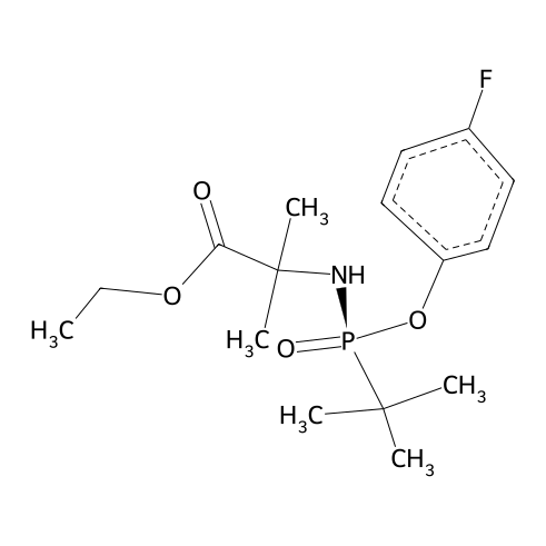 CCOC(=O)C(C)(C)N[P@@](=O)(Oc1ccc(F)cc1)C(C)(C)C